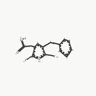 O=C(O)c1cc(Cc2ccccc2)c(F)nc1F